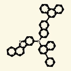 c1ccc(-c2ccc(N(c3ccc4cc(-c5cc6ccccc6c6ccccc56)ccc4c3)c3ccc4sc5c6ccccc6ccc5c4c3)c3ccccc23)cc1